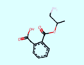 BCC(C)OC(=O)c1ccccc1C(=O)O